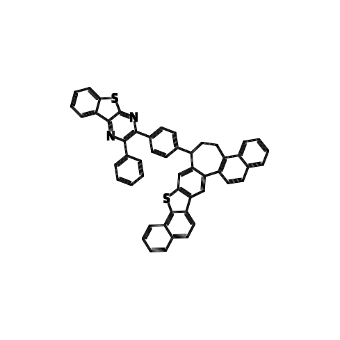 c1ccc(-c2nc3c(nc2-c2ccc(C4CCc5c(ccc6ccccc56)-c5cc6c(cc54)sc4c5ccccc5ccc64)cc2)sc2ccccc23)cc1